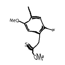 COC(=S)Cc1cc(OC)c(C)cc1Br